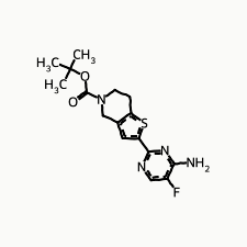 CC(C)(C)OC(=O)N1CCc2sc(-c3ncc(F)c(N)n3)cc2C1